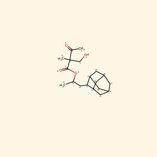 CC(=O)C(C)(CO)C(=O)OC(C)CC1C2CC3CC(C2)CC1C3